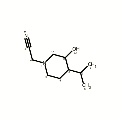 CC(C)C1CCN(CC#N)CC1O